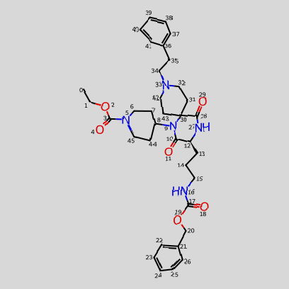 CCOC(=O)N1CCC(N2C(=O)[C@H](CCCNC(=O)OCc3ccccc3)NC(=O)C23CCN(CCc2ccccc2)CC3)CC1